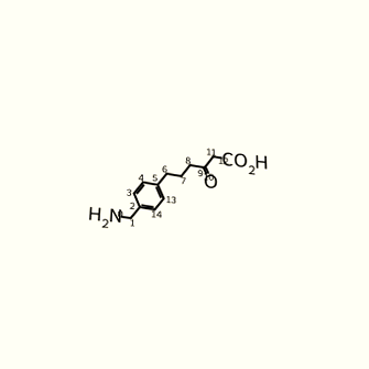 NCc1ccc(CCCC(=O)CC(=O)O)cc1